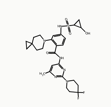 Cc1cc(NC(=O)c2ccc(NS(=O)(=O)C3CC3O)cc2N2CCC3(CC2)CC3)nc(N2CCC(F)(F)CC2)n1